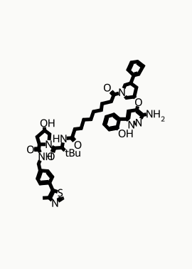 Cc1ncsc1-c1ccc(CNC(=O)C2CC(O)CN2C(=O)C(NC(=O)CCCCCCCCC(=O)N2CC(Oc3cc(-c4ccccc4O)nnc3N)CC(c3ccccc3)C2)C(C)(C)C)cc1